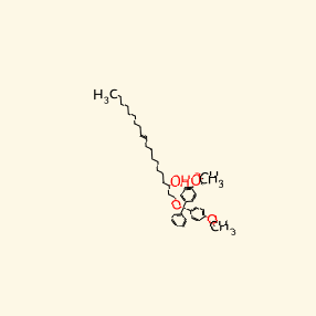 CCCCCCCCC=CCCCCCCCC(O)CCOC(c1ccccc1)(c1ccc(OC)cc1)c1ccc(OC)cc1